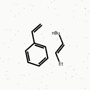 C=Cc1ccccc1.CCC=CCCCC